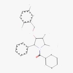 CC(C)(C)C1C(OCc2cc(Cl)ccc2Cl)C(c2ccccc2)N(C(=O)C2CCCCC2)C1C(=O)O